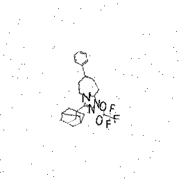 O=C(ON1N=C(C23CC4CC(CC(C4)C2)C3)N2CCC(c3ccccc3)CCC12)C(F)(F)F